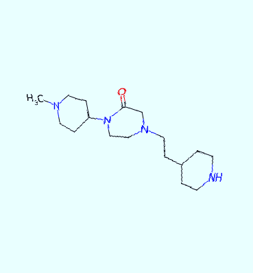 CN1CCC(N2CCN(CCC3CCNCC3)CC2=O)CC1